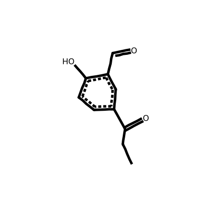 CCC(=O)c1ccc(O)c(C=O)c1